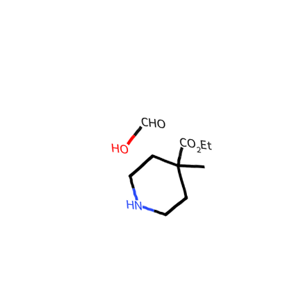 CCOC(=O)C1(C)CCNCC1.O=CO